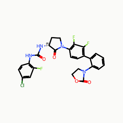 O=C(Nc1ccc(Cl)cc1F)N[C@@H]1CCN(c2ccc(-c3ccccc3N3CCOC3=O)c(F)c2F)C1=O